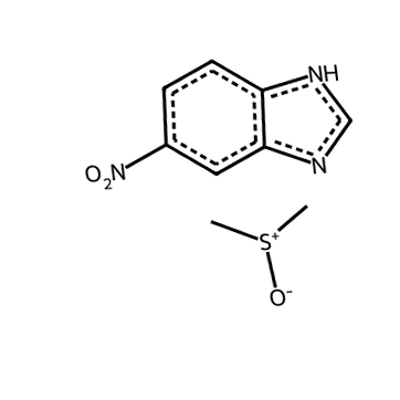 C[S+](C)[O-].O=[N+]([O-])c1ccc2[nH]cnc2c1